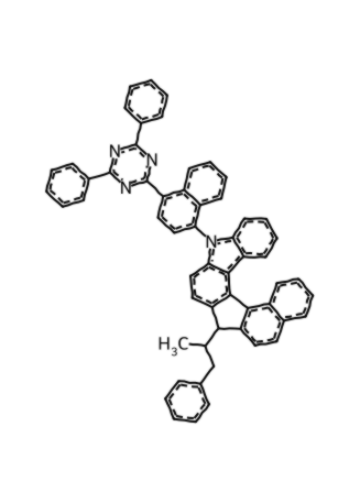 CC(Cc1ccccc1)C1c2ccc3ccccc3c2-c2c1ccc1c2c2ccccc2n1-c1ccc(-c2nc(-c3ccccc3)nc(-c3ccccc3)n2)c2ccccc12